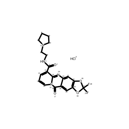 Cl.O=C(NCCN1CCCC1)c1cccn2c(=O)c3cc4c(cc3nc12)OC(F)(F)O4